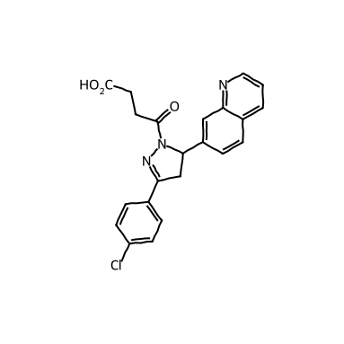 O=C(O)CCC(=O)N1N=C(c2ccc(Cl)cc2)CC1c1ccc2cccnc2c1